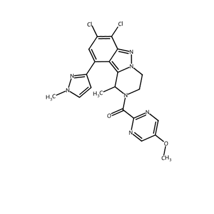 COc1cnc(C(=O)N2CCn3nc4c(Cl)c(Cl)cc(-c5ccn(C)n5)c4c3C2C)nc1